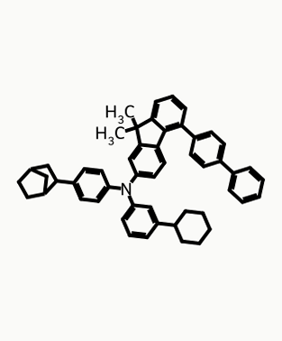 CC1(C)c2cc(N(c3ccc(C4CC5CCC4C5)cc3)c3cccc(C4CCCCC4)c3)ccc2-c2c(-c3ccc(-c4ccccc4)cc3)cccc21